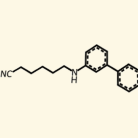 N#CCCCCCNc1cccc(-c2ccccc2)c1